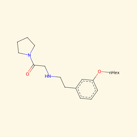 CCCCCCOc1cccc(CCNCC(=O)N2CCCC2)c1